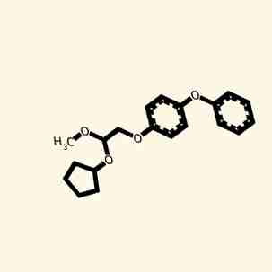 COC(COc1ccc(Oc2ccccc2)cc1)OC1CCCC1